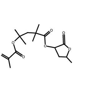 C=C(C)C(=O)OC(C)(C)CC(C)(C)C(=O)OC1CC(C)OC1=O